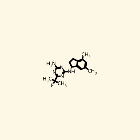 Cc1cc(C)c2c(c1)[C@H](Nc1nc(N)nc(C(C)(C)F)n1)CC2